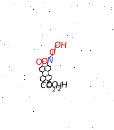 O=C(O)c1ccc2c3ccc4c5c(ccc(c6ccc(C(=O)O)c1c26)c53)C(=NCCOCCO)OC4=O